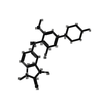 COc1cc(N2CCC(C)CC2)cc(F)c1Nc1ccc2c(c1)n(C)c(=O)n2C